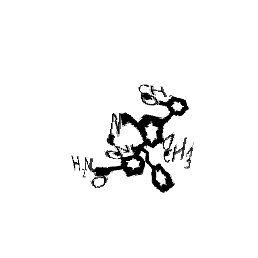 COc1ccccc1-c1cc2c(cc1OC)C(CCc1ccccc1)(c1cccc(C(N)=O)c1)[NH+]([O-])CN=C2